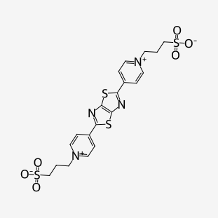 O=S(=O)([O-])CCC[n+]1ccc(-c2nc3sc(-c4cc[n+](CCCS(=O)(=O)[O-])cc4)nc3s2)cc1